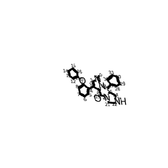 Cn1cc(-c2ccccc2Oc2ccccc2)c(C(=O)N2CCNC[C@H]2Cc2ccccc2)n1